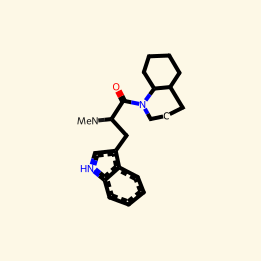 CNC(Cc1c[nH]c2ccccc12)C(=O)N1CCCC2CCCCC21